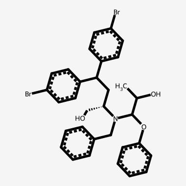 CC(O)C(Oc1ccccc1)N(Cc1ccccc1)[C@H](CO)CC(c1ccc(Br)cc1)c1ccc(Br)cc1